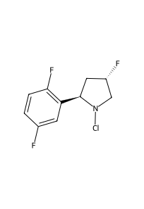 Fc1ccc(F)c([C@H]2C[C@H](F)CN2Cl)c1